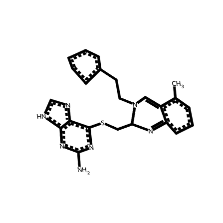 Cc1cccc2c1=CN(CCc1ccccc1)C(CSc1nc(N)nc3[nH]cnc13)N=2